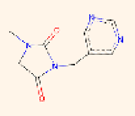 CN1CC(=O)N(Cc2cncnc2)C1=O